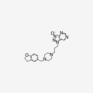 [O-][n+]1nn(CCCN2CCN(Cc3ccc4c(c3)CCO4)CC2)c2cncnc21